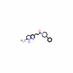 C=C1CCc2cc(/C=C/C(=O)N3CCCC(c4ccccc4)CC3)cnc2N1